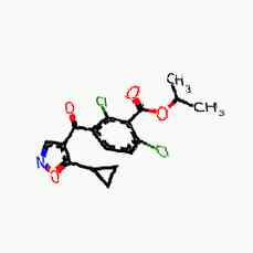 CC(C)OC(=O)c1c(Cl)ccc(C(=O)c2cnoc2C2CC2)c1Cl